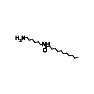 CCCCCCCCCCCC(=O)NCCCCCCN